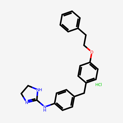 Cl.c1ccc(CCOc2ccc(Cc3ccc(NC4=NCCN4)cc3)cc2)cc1